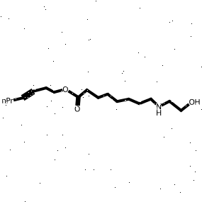 CCCC#CCCOC(=O)CCCCCCCNCCO